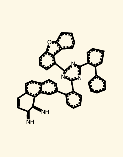 N=C1C=Cc2ccc3ccc(-c4ccccc4-c4nc(-c5ccccc5-c5ccccc5)nc(-c5cccc6oc7ccccc7c56)n4)cc3c2C1=N